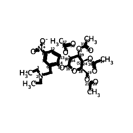 CCN(CC)Cc1cc([N+](=O)[O-])ccc1O[C@@H]1O[C@H](COC(C)=O)[C@H](OC(C)=O)[C@H](OC(C)=O)[C@H]1OC(C)=O